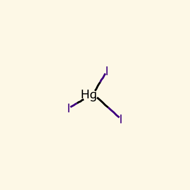 [I][Hg]([I])[I]